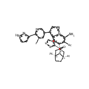 CC(=O)c1c([C@@H]2C[C@H]3CC[C@@H](C2)N3C(=O)c2nnc[nH]2)nc2c(-c3cnc(-c4cc[nH]n4)c(F)c3)cnn2c1N